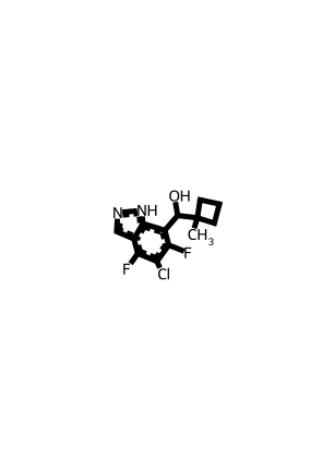 CC1(C(O)c2c(F)c(Cl)c(F)c3cn[nH]c23)CCC1